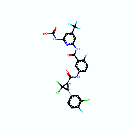 O=C(O)Nc1cc(C(F)(F)F)cc(NC(=O)c2cc(NC(=O)[C@H]3[C@H](c4ccc(F)c(Cl)c4)C3(Cl)Cl)ccc2Cl)n1